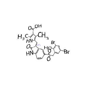 Cc1[nH]c(/C=C2\C(=O)Nc3ccc(S(=O)(=O)Cc4cc(Br)cc(Br)c4O)cc32)c(C)c1C(=O)O